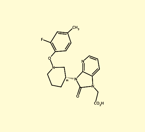 Cc1ccc(ON2CCC[C@@H](n3c(=O)n(CC(=O)O)c4cccnc43)C2)c(F)c1